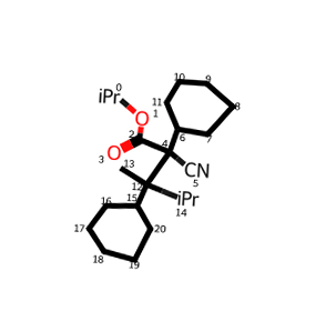 CC(C)OC(=O)C(C#N)(C1CCCCC1)C(C)(C(C)C)C1CCCCC1